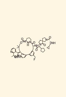 CCn1c(-c2cccnc2[C@H](C)OC)c2c3cc(ccc31)-c1cc(CF)cc(c1)C[C@H](NC(=O)C(C1CCCC1)N1CC[C@]3(CCN(C(=O)[C@@H]4NC4C4CC4)C3)C1=O)C(=O)N1CCC[C@H](N1)C(=O)OCC(C)(C)C2